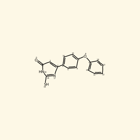 O=c1cc(-c2ccc(Oc3ccccc3)cc2)nc(S)[nH]1